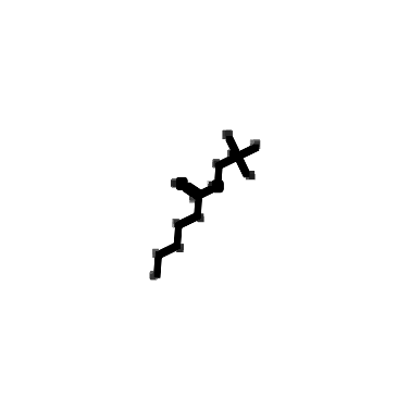 CCCCCC(=O)OCC(C)(C)C